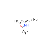 CCCCCCCCCC/C=C(\NC(=O)C1CC1(C)C)C(=O)O